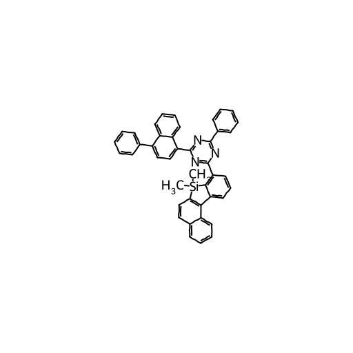 C[Si]1(C)c2ccc3ccccc3c2-c2cccc(-c3nc(-c4ccccc4)nc(-c4ccc(-c5ccccc5)c5ccccc45)n3)c21